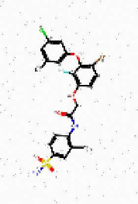 Cc1cc(S(N)(=O)=O)ccc1NC(=O)COc1ccc(Br)c(Oc2cc(Cl)cc(C#N)c2)c1F